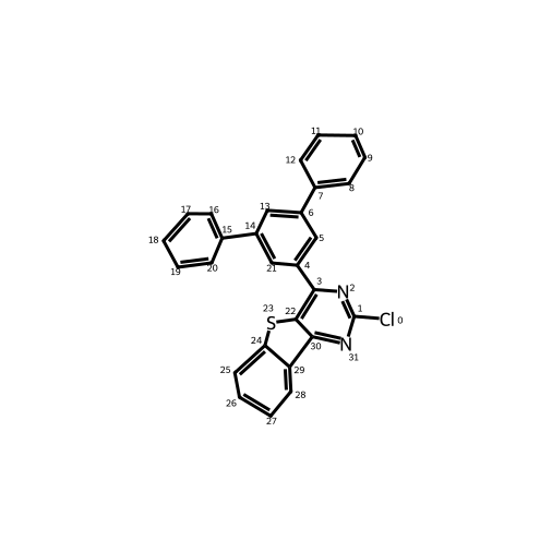 Clc1nc(-c2cc(-c3ccccc3)cc(-c3ccccc3)c2)c2sc3ccccc3c2n1